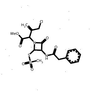 C=C(CCl)C(C(=O)OC)N1C(=O)C(NC(=O)Cc2ccccc2)C1SS(C)(=O)=O